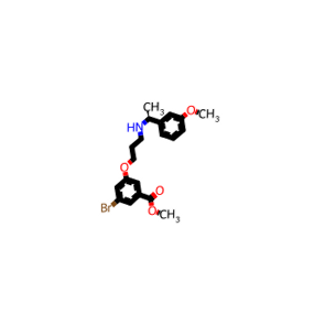 COC(=O)c1cc(Br)cc(OCCCN[C@H](C)c2cccc(OC)c2)c1